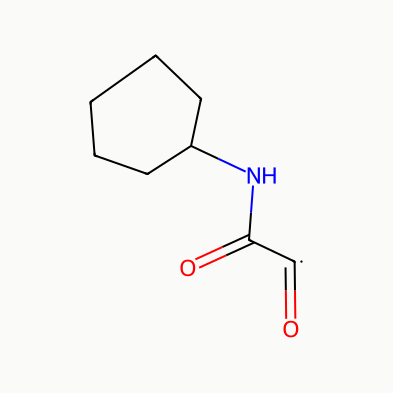 O=[C]C(=O)NC1CCCCC1